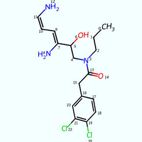 CCCN(CC(O)/C(N)=C/C=C\N)C(=O)Cc1ccc(Cl)c(Cl)c1